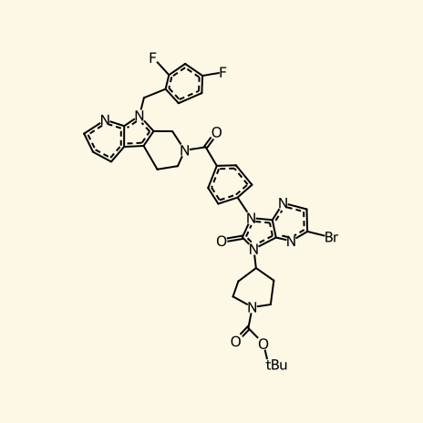 CC(C)(C)OC(=O)N1CCC(n2c(=O)n(-c3ccc(C(=O)N4CCc5c(n(Cc6ccc(F)cc6F)c6ncccc56)C4)cc3)c3ncc(Br)nc32)CC1